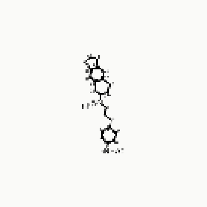 CCCN(CCCc1ccc(NC(C)=O)cc1)C1CCc2cc3c(cc2C1)SCC3